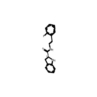 O=C(NCCc1ccccc1F)[C@@H]1Cc2ccccc2N1